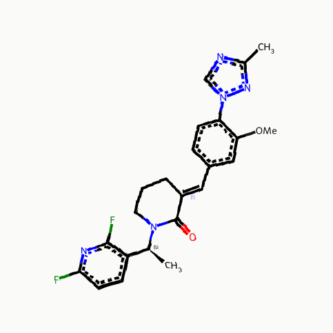 COc1cc(/C=C2\CCCN([C@@H](C)c3ccc(F)nc3F)C2=O)ccc1-n1cnc(C)n1